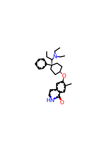 CCC(N(CC)CC)[C@]1(c2ccccc2)CC[C@H](Oc2cc3cc[nH]c(=O)c3cc2C)CC1